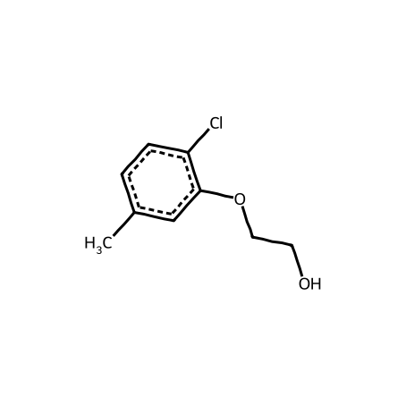 Cc1ccc(Cl)c(OCCO)c1